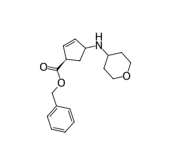 O=C(OCc1ccccc1)[C@H]1C=CC(NC2CCOCC2)C1